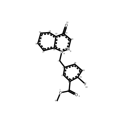 COC(=O)c1cc(Cn2ncc(=O)c3ccccc32)ccc1F